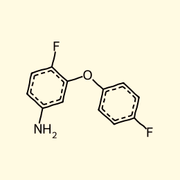 Nc1ccc(F)c(Oc2ccc(F)cc2)c1